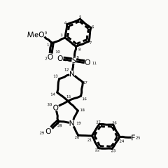 COC(=O)c1ccccc1S(=O)(=O)N1CCC2(CC1)CN(Cc1ccc(F)cc1)C(=O)O2